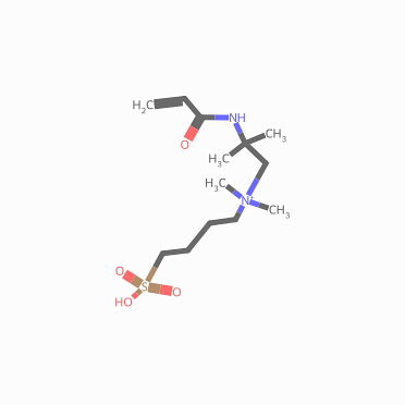 C=CC(=O)NC(C)(C)C[N+](C)(C)CCCCS(=O)(=O)O